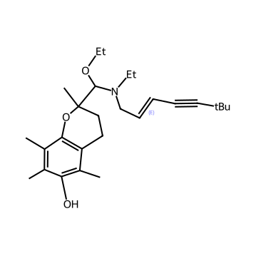 CCOC(N(CC)C/C=C/C#CC(C)(C)C)C1(C)CCc2c(C)c(O)c(C)c(C)c2O1